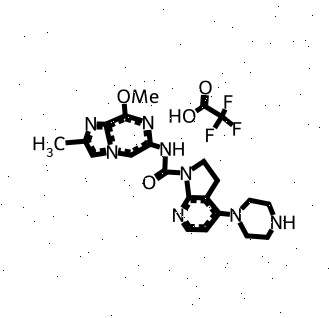 COc1nc(NC(=O)N2CCc3c(N4CCNCC4)ccnc32)cn2cc(C)nc12.O=C(O)C(F)(F)F